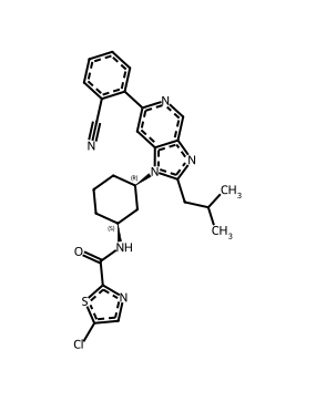 CC(C)Cc1nc2cnc(-c3ccccc3C#N)cc2n1[C@@H]1CCC[C@H](NC(=O)c2ncc(Cl)s2)C1